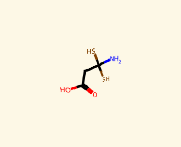 NC(S)(S)CC(=O)O